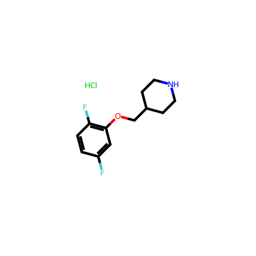 Cl.Fc1ccc(F)c(OCC2CCNCC2)c1